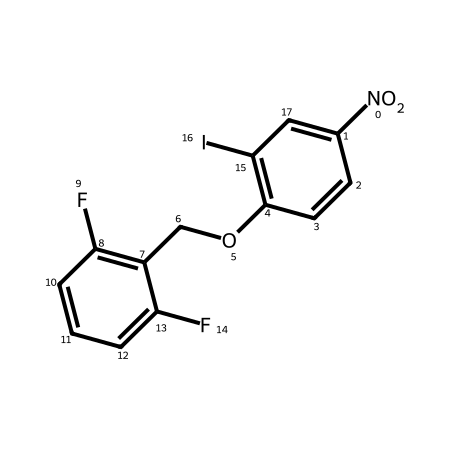 O=[N+]([O-])c1ccc(OCc2c(F)cccc2F)c(I)c1